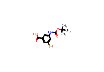 CC(C)(C)OC(=O)Nc1cc(S)cc(C(=O)O)c1